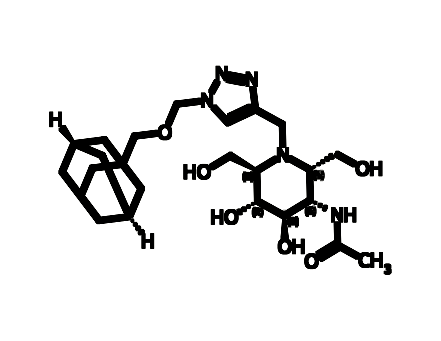 CC(=O)N[C@@H]1[C@@H](O)[C@H](O)[C@@H](CO)N(Cc2cn(COCC34CC5C[C@H](C3)C[C@H](C5)C4)nn2)[C@@H]1CO